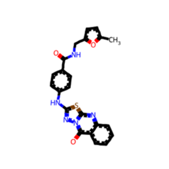 Cc1ccc(CNC(=O)c2ccc(Nc3nn4c(=O)c5ccccc5nc4s3)cc2)o1